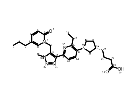 CCCc1ccc(=O)n(Cc2c(-c3ccc(N4CC[C@H](CCCC(=O)O)C4)c(CC)n3)nnn2C)c1